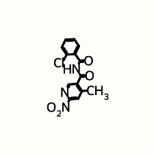 Cc1cc([N+](=O)[O-])ncc1C(=O)NC(=O)c1ccccc1Cl